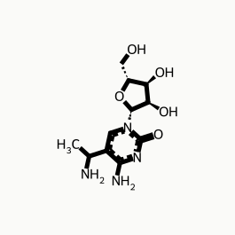 CC(N)c1cn([C@@H]2O[C@H](CO)[C@@H](O)[C@H]2O)c(=O)nc1N